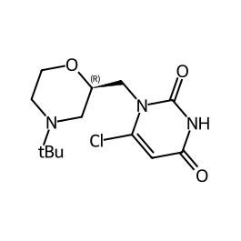 CC(C)(C)N1CCO[C@@H](Cn2c(Cl)cc(=O)[nH]c2=O)C1